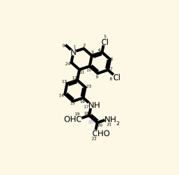 CN1Cc2c(Cl)cc(Cl)cc2C(c2cccc(N/C(C=O)=C(\N)C=O)c2)C1